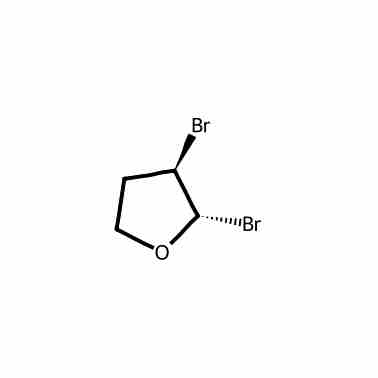 Br[C@@H]1CCO[C@H]1Br